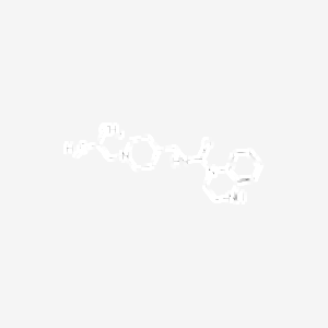 CC(C)CN1CCC(CNC(=O)N2CCNc3ccccc32)CC1